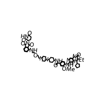 CC[C@@H]1C(=O)N(C)c2cnc(Nc3ccc(C(=O)NC4CCC(N5CCN(CCOCCNc6cccc7c6C(=O)N(C6CCC(=O)NC6=O)C7=O)CC5)CC4)cc3OC)nc2N1C1CCCC1